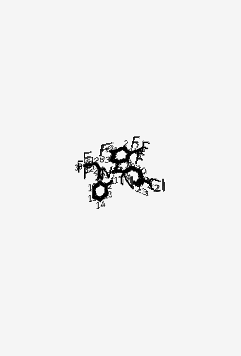 Fc1cc(C(F)(F)F)cc([C@@](Cc2ccccc2)(c2ccc(Cl)cn2)N2CC2CC(F)(F)F)c1